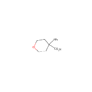 CCCC1(C(=O)O)CCOCC1